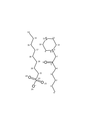 CCCCCC(=O)C[S+]1CCSCC1.CCCCCCCCS(=O)(=O)[O-]